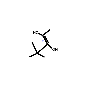 C/C(C#N)=C(\O)C(C)(C)C